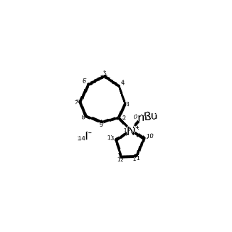 CCCC[N+]1(C2CCCCCCC2)CCCC1.[I-]